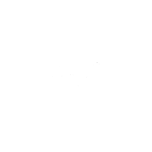 C=C(COC(C)=O)C(=O)OC12CC3CC(CC(C3)C1)C2